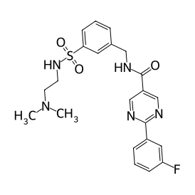 CN(C)CCNS(=O)(=O)c1cccc(CNC(=O)c2cnc(-c3cccc(F)c3)nc2)c1